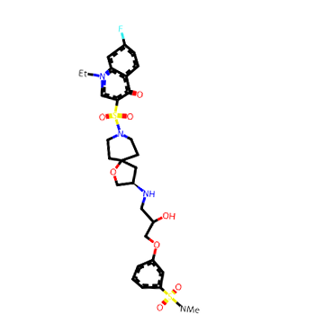 CCn1cc(S(=O)(=O)N2CCC3(CC2)C[C@@H](NCC(O)COc2cccc(S(=O)(=O)NC)c2)CO3)c(=O)c2ccc(F)cc21